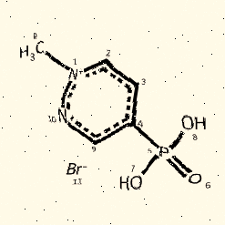 C[n+]1ccc(P(=O)(O)O)cn1.[Br-]